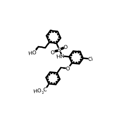 O=C(O)c1ccc(COc2cc(Cl)ccc2NS(=O)(=O)c2ccccc2CCO)cc1